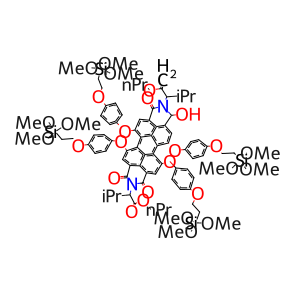 C=C(OCCC)C(C(C)C)N1C(=O)c2cc(Oc3ccc(OCC[Si](OC)(OC)OC)cc3)c3c4c(Oc5ccc(OCC[Si](OC)(OC)OC)cc5)cc5c6c(cc(Oc7ccc(OCC[Si](OC)(OC)OC)cc7)c(c7c(Oc8ccc(OCC[Si](OC)(OC)OC)cc8)cc(c2c37)C1O)c64)C(=O)N(C(C(=O)OCCC)C(C)C)C5=O